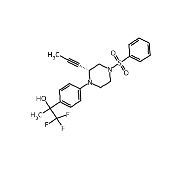 CC#C[C@@H]1CN(S(=O)(=O)c2ccccc2)CCN1c1ccc(C(C)(O)C(F)(F)F)cc1